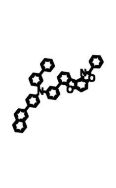 c1ccc(-c2cccc(N(c3ccc(-c4ccc5ccccc5c4)cc3)c3cccc(-c4cccc5c4oc4ccc6oc(-c7ccccc7)nc6c45)c3)c2)cc1